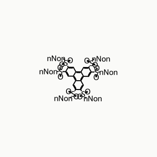 CCCCCCCCCS(=O)(=O)c1cc2c3cc(S(=O)(=O)CCCCCCCCC)c(S(=O)(=O)CCCCCCCCC)cc3c3cc(S(=O)(=O)CCCCCCCCC)c(S(=O)(=O)CCCCCCCCC)cc3c2cc1S(=O)(=O)CCCCCCCCC